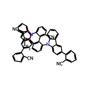 N#Cc1ccc(-c2cccc(-n3c4ccccc4c4cc(-c5ccccc5C#N)ccc43)c2-c2c(C#N)cccc2-n2c3ccccc3c3cc(-c4ccccc4C#N)ccc32)c(C(F)(F)F)c1